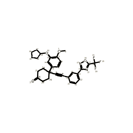 COc1ccc(C2(C#Cc3cccc(-c4noc(C(F)(F)F)n4)c3)CCC(=O)CC2)cc1OC1CCCC1